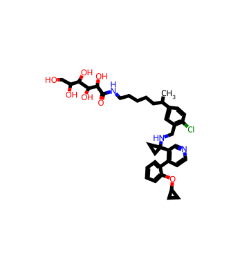 CC(CCCCCNC(=O)C(O)C(O)C(O)C(O)CO)c1ccc(Cl)c(CNC2(c3cnccc3-c3ccccc3OC3CC3)CC2)c1